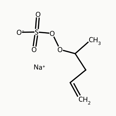 C=CCC(C)OOS(=O)(=O)[O-].[Na+]